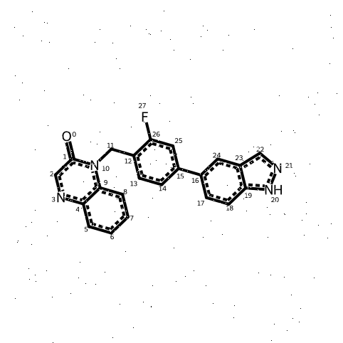 O=c1cnc2ccccc2n1Cc1ccc(-c2ccc3[nH]ncc3c2)cc1F